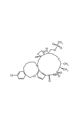 C[C@@H]1[C@@H](C)CCC[C@](O)(COS(C)(=O)=O)[C@@H]2CC[C@H]2CN2CCCCc3cc(Cl)ccc3COc3ccc(cc32)C(=O)NS1(=O)=O